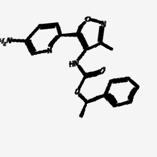 Cc1noc(-c2ccc(N)cn2)c1NC(=O)O[C@H](C)c1ccccc1